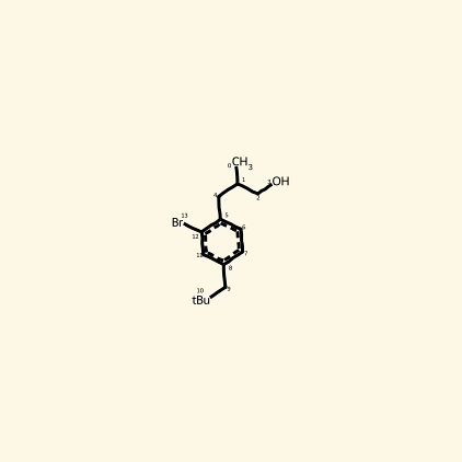 CC(CO)Cc1ccc(CC(C)(C)C)cc1Br